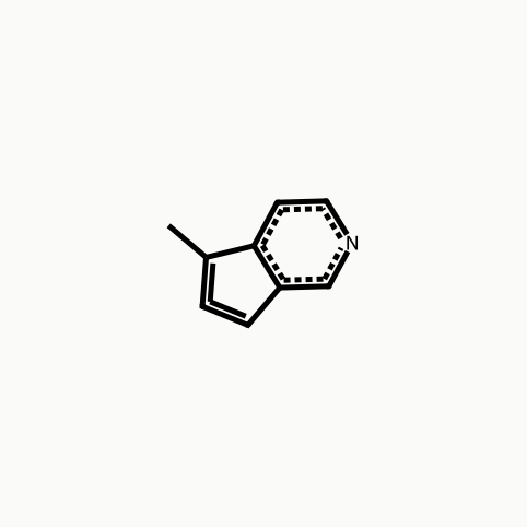 CC1=C=Cc2cnccc21